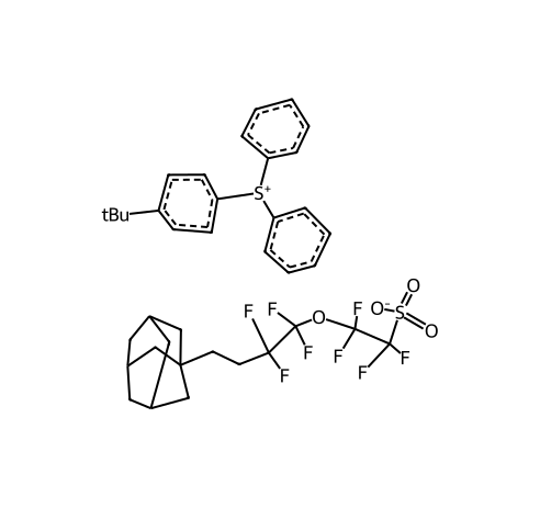 CC(C)(C)c1ccc([S+](c2ccccc2)c2ccccc2)cc1.O=S(=O)([O-])C(F)(F)C(F)(F)OC(F)(F)C(F)(F)CCC12CC3CC(CC(C3)C1)C2